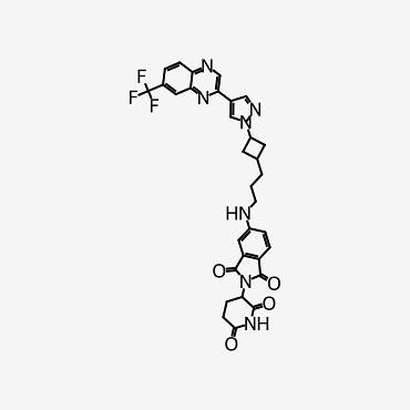 O=C1CCC(N2C(=O)c3ccc(NCCCC4CC(n5cc(-c6cnc7ccc(C(F)(F)F)cc7n6)cn5)C4)cc3C2=O)C(=O)N1